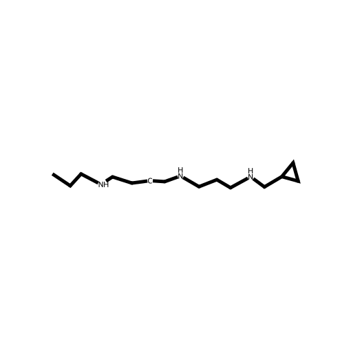 CCCNCCCCNCCCNCC1CC1